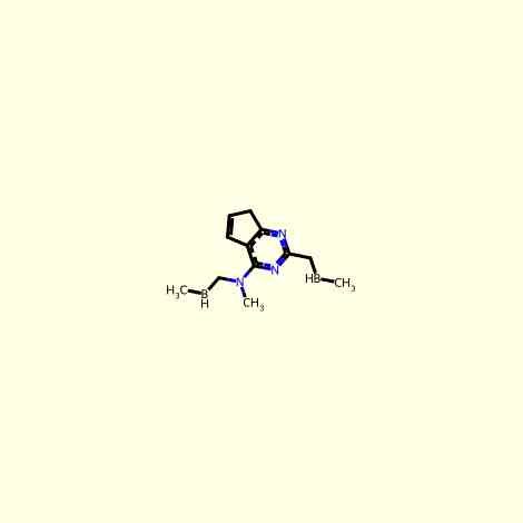 CBCc1nc2c(c(N(C)CBC)n1)C=CC2